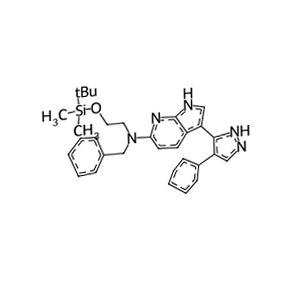 CC(C)(C)[Si](C)(C)OCCN(Cc1ccccc1)c1ccc2c(-c3[nH]ncc3-c3ccccc3)c[nH]c2n1